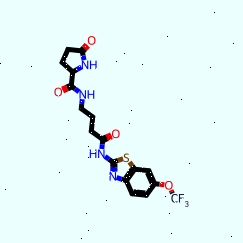 O=C(CCCNC(=O)C1CCC(=O)N1)Nc1nc2ccc(OC(F)(F)F)cc2s1